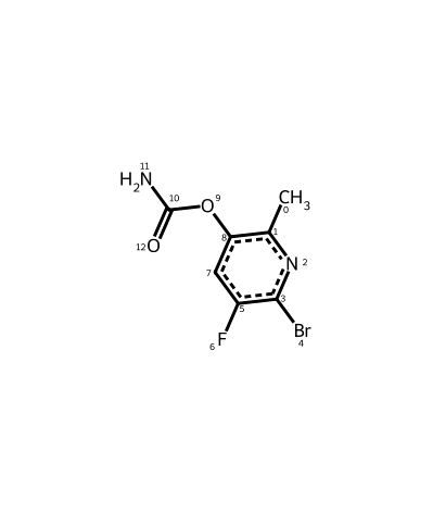 Cc1nc(Br)c(F)cc1OC(N)=O